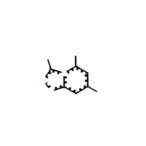 CCCCc1cc(C)cc2nnc(C(C)(C)C)n12